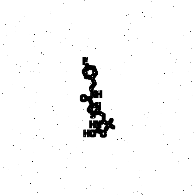 CC(C)(C)C(Cc1nc(C(=O)NCCc2ccc(F)cc2)cs1)NC(=O)O